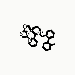 Cc1ccccc1-c1ccccc1C[n+]1ccccc1-c1cccc[n+]1-c1csc2occ[n+]12